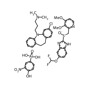 CN(C)CCCN1c2ccccc2CCc2ccc(Cl)cc21.COc1ccnc(C[S+]([O-])c2nc3cc(OC(F)F)ccc3[nH]2)c1OC.O=[N+]([O-])c1cc([As](=O)(O)O)ccc1O